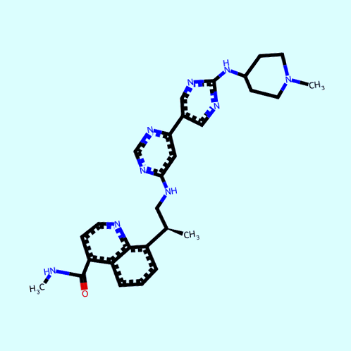 CNC(=O)c1ccnc2c([C@H](C)CNc3cc(-c4cnc(NC5CCN(C)CC5)nc4)ncn3)cccc12